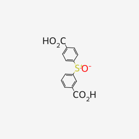 O=C(O)c1ccc([S+]([O-])c2cccc(C(=O)O)c2)cc1